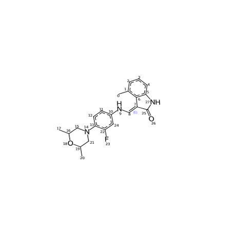 Cc1cccc2c1/C(=C\Nc1ccc(N3CC(C)OC(C)C3)c(F)c1)C(=O)N2